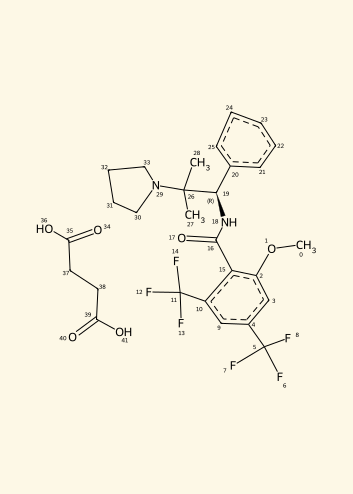 COc1cc(C(F)(F)F)cc(C(F)(F)F)c1C(=O)N[C@H](c1ccccc1)C(C)(C)N1CCCC1.O=C(O)CCC(=O)O